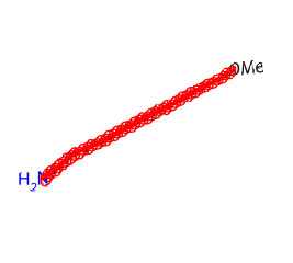 COCCOCCOCCOCCOCCOCCOCCOCCOCCOCCOCCOCCOCCOCCOCCOCCOCCOCCOCCOCCOCCOCCOCCOCCOCCOCCOCCOCCOCCOCCOCCOCCOCCOCCOCCOCCOCCOCCOCCOCCOCCOCCOCCOCCOCCOCC(N)=O